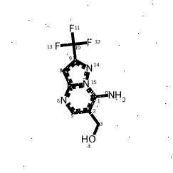 Nc1c(CO)cnc2cc(C(F)(F)F)nn12